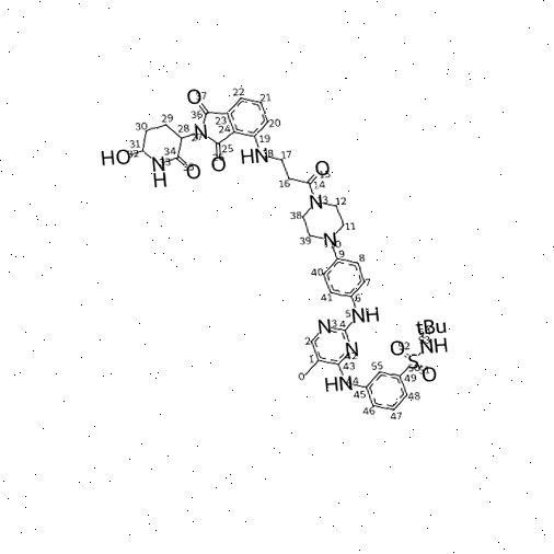 Cc1cnc(Nc2ccc(N3CCN(C(=O)CCNc4cccc5c4C(=O)N(C4CCC(O)NC4=O)C5=O)CC3)cc2)nc1Nc1cccc(S(=O)(=O)NC(C)(C)C)c1